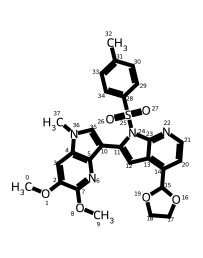 COc1cc2c(nc1OC)c(-c1cc3c(C4OCCO4)ccnc3n1S(=O)(=O)c1ccc(C)cc1)cn2C